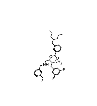 CCCC(CCC)Cc1cccc(C(=O)O[C@H](CNCc2cccc(CC)c2)[C@@H](N)Cc2cc(F)cc(F)c2)c1